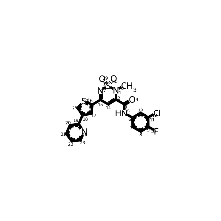 CN1C(C(=O)Nc2ccc(F)c(Cl)c2)=CC(c2cc(-c3ccccn3)cs2)=NS1(=O)=O